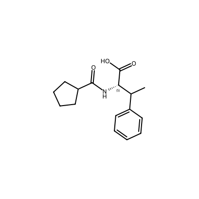 CC(c1ccccc1)[C@H](NC(=O)C1CCCC1)C(=O)O